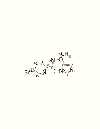 CON=C(Cn1ccnc1)c1ccc(Br)cn1